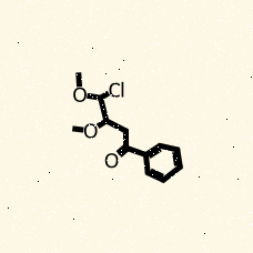 COC(Cl)C(CC(=O)c1ccccc1)OC